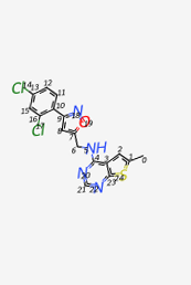 Cc1cc2c(NCc3cc(-c4ccc(Cl)cc4Cl)no3)ncnc2s1